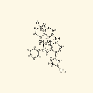 Cc1nc(-c2cnc(Nc3ccc4c(c3)C(O)CCS4(=O)=O)nc2N[C@H](CO)c2ccccc2)n[nH]1